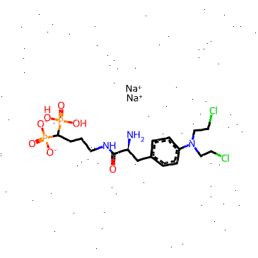 N[C@@H](Cc1ccc(N(CCCl)CCCl)cc1)C(=O)NCCCC(P(=O)([O-])[O-])P(=O)(O)O.[Na+].[Na+]